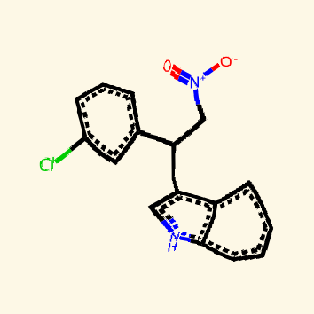 O=[N+]([O-])CC(c1cccc(Cl)c1)c1c[nH]c2ccccc12